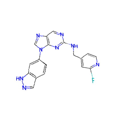 Fc1cc(CNc2ncc3ncn(-c4ccc5cn[nH]c5c4)c3n2)ccn1